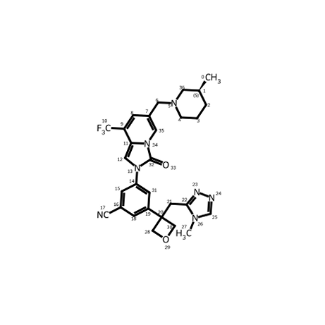 C[C@H]1CCCN(Cc2cc(C(F)(F)F)c3cn(-c4cc(C#N)cc(C5(Cc6nncn6C)COC5)c4)c(=O)n3c2)C1